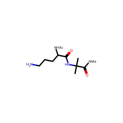 CNC(=O)C(C)(C)NC(=O)C(CCCN)NC(C)=O